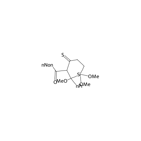 CCCCCCCCCC(=O)C1C(=S)CC[Si](OC)(OC)C1(CCC)OC